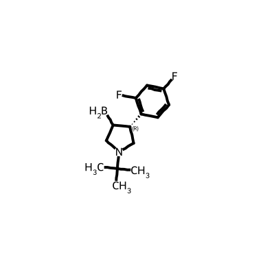 BC1CN(C(C)(C)C)C[C@H]1c1ccc(F)cc1F